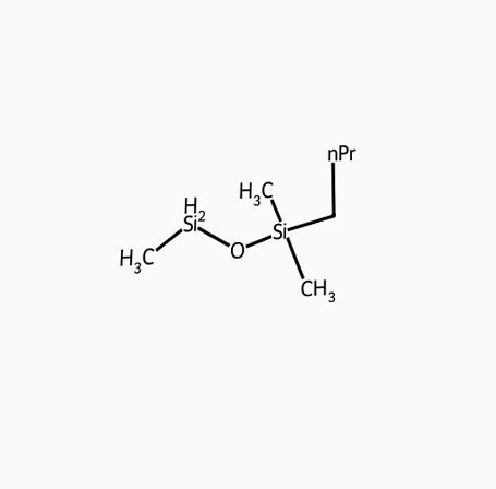 CCCC[Si](C)(C)O[SiH2]C